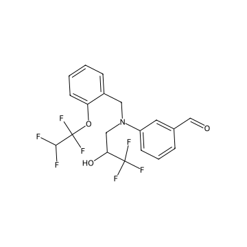 O=Cc1cccc(N(Cc2ccccc2OC(F)(F)C(F)F)CC(O)C(F)(F)F)c1